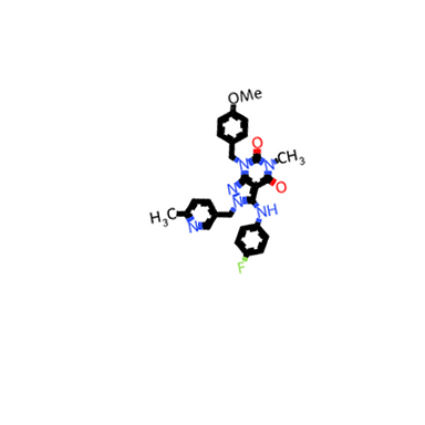 COc1ccc(Cn2c(=O)n(C)c(=O)c3c(Nc4ccc(F)cc4)n(Cc4ccc(C)nc4)nc32)cc1